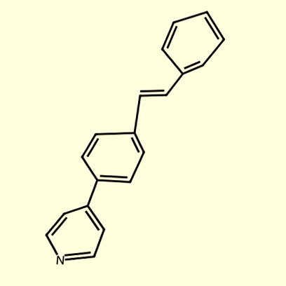 C(=Cc1ccc(-c2ccncc2)cc1)c1ccccc1